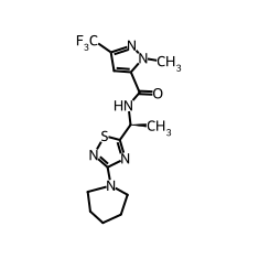 C[C@H](NC(=O)c1cc(C(F)(F)F)nn1C)c1nc(N2CCCCC2)ns1